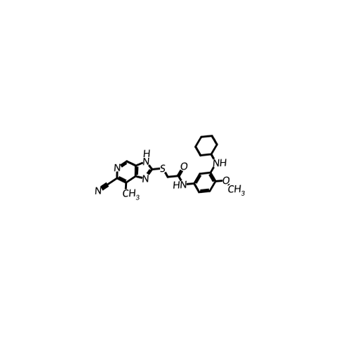 COc1ccc(NC(=O)CSc2nc3c(C)c(C#N)ncc3[nH]2)cc1NC1CCCCC1